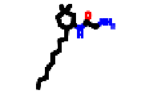 CCCCCCCCCC1CCC(C)(C)CC1NC(=O)CN